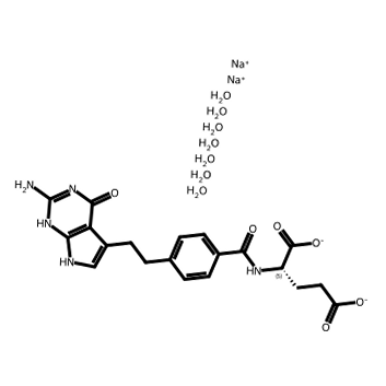 Nc1nc(=O)c2c(CCc3ccc(C(=O)N[C@@H](CCC(=O)[O-])C(=O)[O-])cc3)c[nH]c2[nH]1.O.O.O.O.O.O.O.[Na+].[Na+]